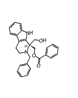 O=C(OC[C@]1(CO)c2[nH]c3ccccc3c2CCN1Cc1ccccc1)c1ccccc1